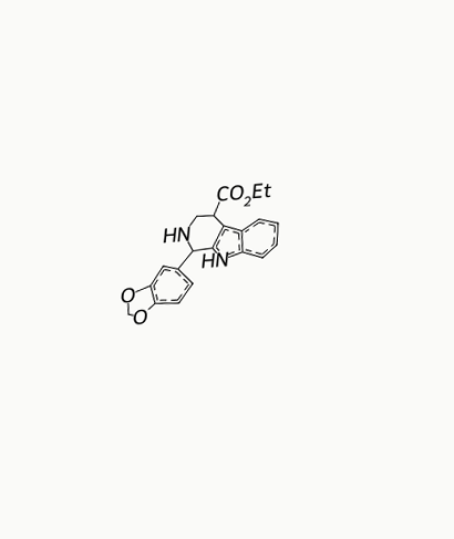 CCOC(=O)C1CNC(c2ccc3c(c2)OCO3)c2[nH]c3ccccc3c21